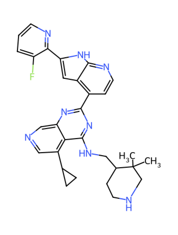 CC1(C)CNCCC1CNc1nc(-c2ccnc3[nH]c(-c4ncccc4F)cc23)nc2cncc(C3CC3)c12